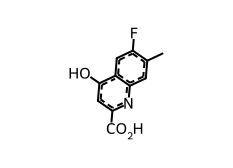 Cc1cc2nc(C(=O)O)cc(O)c2cc1F